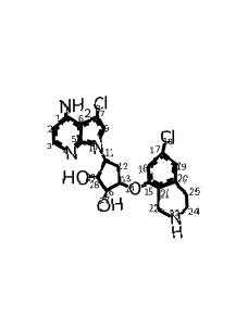 Nc1ccnc2c1c(Cl)cn2C1CC(Oc2cc(Cl)cc3c2CNCC3)[C@@H](O)[C@H]1O